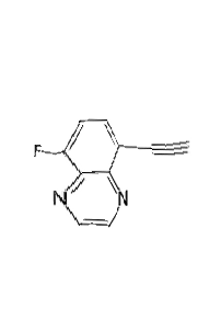 C#Cc1ccc(F)c2nccnc12